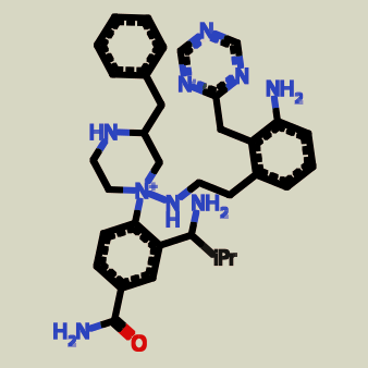 CC(C)C(N)c1cc(C(N)=O)ccc1[N+]1(NCCc2cccc(N)c2Cc2ncncn2)CCNC(Cc2ccccc2)C1